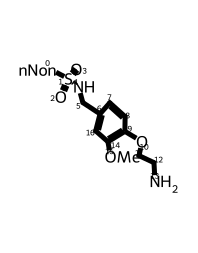 CCCCCCCCCS(=O)(=O)NCc1ccc(OCCN)c(OC)c1